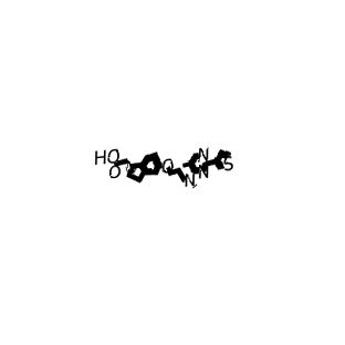 Cc1cnc(-c2ccsc2)nc1N(C)CCCOc1ccc2c(c1)CC[C@H]2CC(=O)O